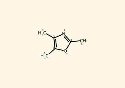 [CH]c1nc(C)c(C)o1